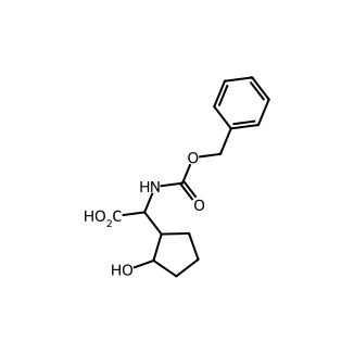 O=C(NC(C(=O)O)C1CCCC1O)OCc1ccccc1